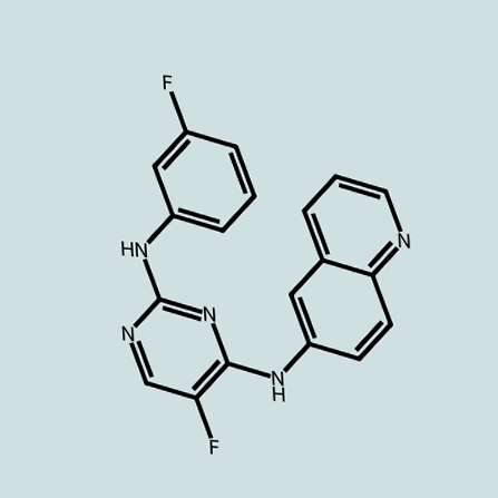 Fc1cccc(Nc2ncc(F)c(Nc3ccc4ncccc4c3)n2)c1